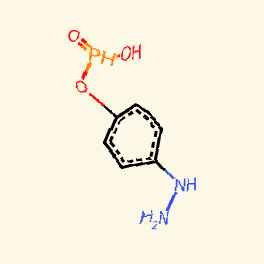 NNc1ccc(O[PH](=O)O)cc1